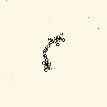 O=C1CCN(N2C(=O)c3ccc(N4CCC(CN5CCN(C6CCN(c7ccc(Nc8nc(-c9ccccc9)c9nc(Nc%10ccccc%10)n(Cl)c9n8)cc7)CC6)CC5)CC4)cc3C2=O)C(=O)N1